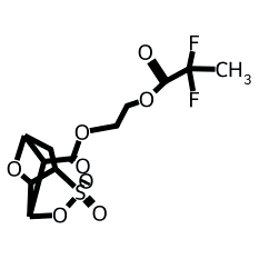 CC(F)(F)C(=O)OCCOC(=O)C1C2CC3C(O2)C1OS3(=O)=O